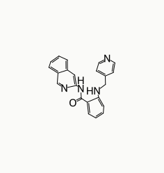 O=C(Nc1cc2ccccc2cn1)c1ccccc1NCc1ccncc1